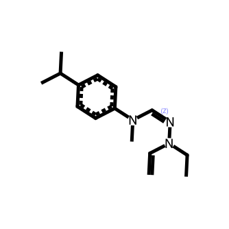 C=CN(CC)/N=C\N(C)c1ccc(C(C)C)cc1